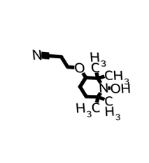 CC1(C)CCC(OCCC#N)C(C)(C)N1O